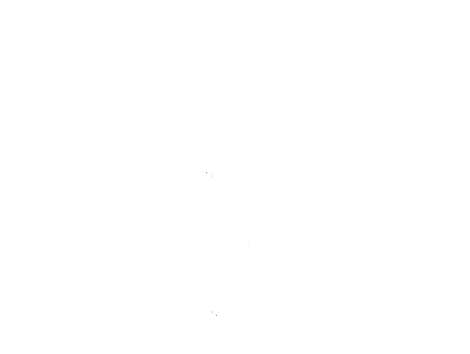 N#Cc1ccc(CC(CC(=O)O)NC(=O)OCC2c3ccccc3-c3ccccc32)cc1